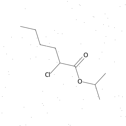 CCCCC(Cl)C(=O)OC(C)C